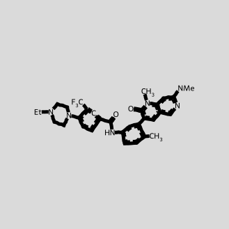 CCN1CCN(c2ccc(C(=O)Nc3ccc(C)c(-c4cc5cnc(NC)cc5n(C)c4=O)c3)cc2C(F)(F)F)CC1